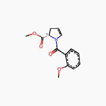 COC(=O)[C@@H]1CC=CN1C(=O)c1ccccc1OC